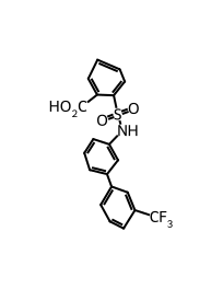 O=C(O)c1ccccc1S(=O)(=O)Nc1cccc(-c2cccc(C(F)(F)F)c2)c1